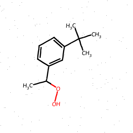 CC(OO)c1cccc(C(C)(C)C)c1